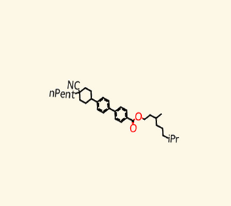 CCCCCC1(C#N)CCC(c2ccc(-c3ccc(C(=O)OCCC(C)CCCC(C)C)cc3)cc2)CC1